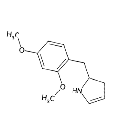 COc1ccc(CC2CC=CN2)c(OC)c1